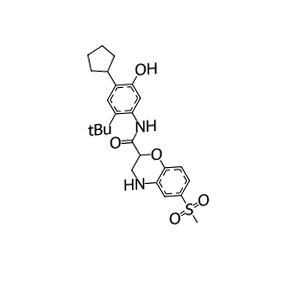 CC(C)(C)c1cc(C2CCCC2)c(O)cc1NC(=O)C1CNc2cc(S(C)(=O)=O)ccc2O1